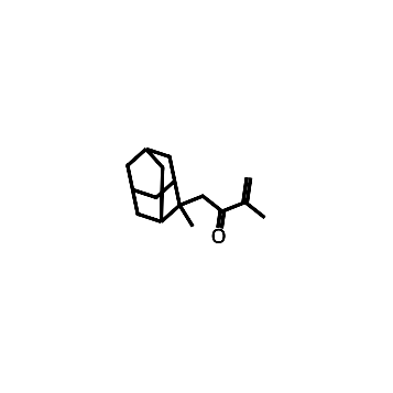 C=C(C)C(=O)CC1(C)C2CC3CC(C2)CC1C3